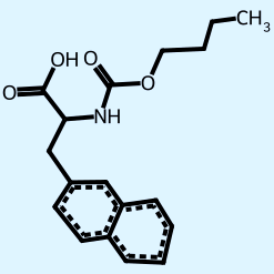 CCCCOC(=O)NC(Cc1ccc2ccccc2c1)C(=O)O